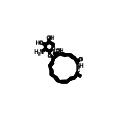 CC1/C=C/C=C\C=C\C=C\C=C\C(OC2OCC(O)C(O)C2N)C(C)(O)/C=C/C=C\C(=O)NC1